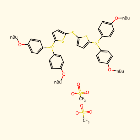 CCCCOc1ccc([S+](c2ccc(OCCCC)cc2)c2ccc(Sc3ccc([S+](c4ccc(OCCCC)cc4)c4ccc(OCCCC)cc4)s3)s2)cc1.O=S(=O)([O-])C(F)(F)F.O=S(=O)([O-])C(F)(F)F